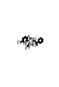 CC(O)(CC(=O)Nc1nc2ccc(Cl)nc2n1CC(F)(F)F)c1ccccc1